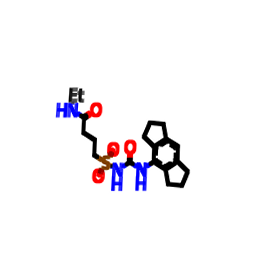 CCNC(=O)CCCS(=O)(=O)NC(=O)Nc1c2c(cc3c1CCC3)CCC2